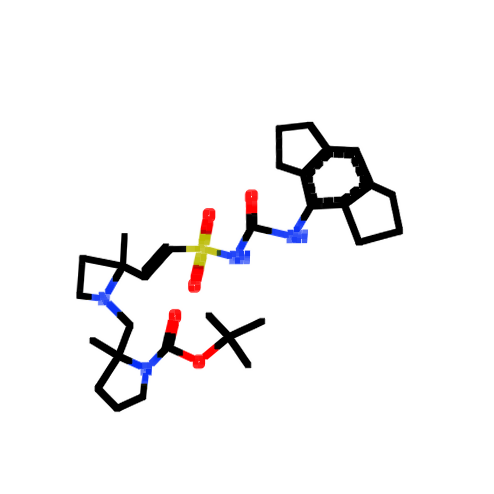 CC(C)(C)OC(=O)N1CCCC1(C)CN1CCC1(C)/C=C/S(=O)(=O)NC(=O)Nc1c2c(cc3c1CCC3)CCC2